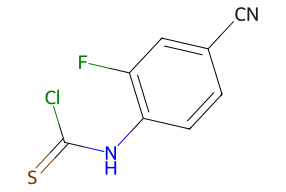 N#Cc1ccc(NC(=S)Cl)c(F)c1